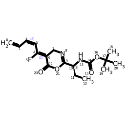 C=C/C=C\C(F)=C1/CN=C([C@H](CC)NC(=O)OC(C)(C)C)OC1=O